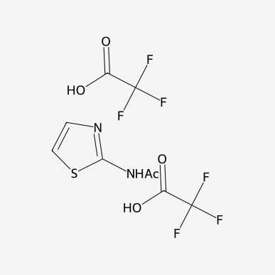 CC(=O)Nc1nccs1.O=C(O)C(F)(F)F.O=C(O)C(F)(F)F